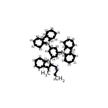 C=C/C=C\c1c(C)c2ccccc2n1-c1cc(-n2c3ccccc3c3ccccc32)cc(-n2c3ccccc3c3ccccc32)c1